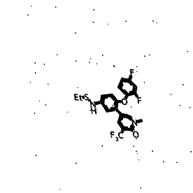 CCSNc1ccc(Oc2ccc(F)cc2F)c(-c2cc(C(F)(F)F)c(=O)n(C)c2)c1